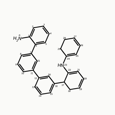 Nc1ccccc1-c1cccc(-c2cccc(C3CC=CC=C3NC3=CC=CCC3)c2)c1